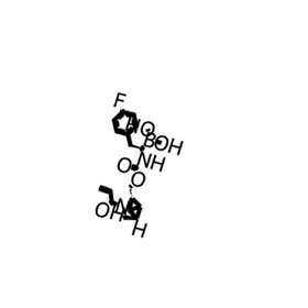 C=CC(=O)N1C[C@@H]2C3[C@@H]2[C@]31COC(=O)N[C@@H](Cc1ccc(F)cc1)B(O)O